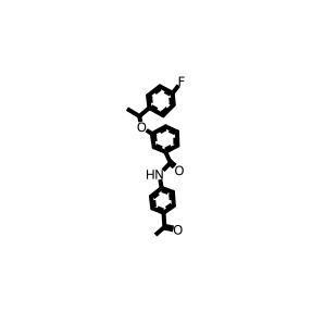 CC(=O)c1ccc(NC(=O)c2cccc(OC(C)c3ccc(F)cc3)c2)cc1